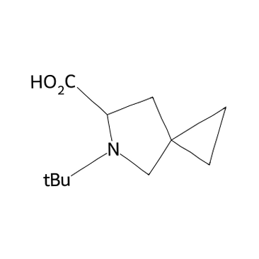 CC(C)(C)N1CC2(CC2)CC1C(=O)O